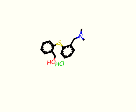 CN(C)Cc1ccccc1Sc1ccccc1CO.Cl